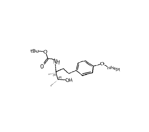 CCCCCCCOc1ccc(CC[C@](C)(NC(=O)OC(C)(C)C)[C@@H](C)O)cc1